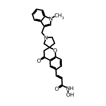 Cn1cc(CN2CCC3(CC(=O)c4cc(/C=C/C(=O)NO)ccc4O3)C2)c2ccccc21